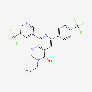 CCn1cnc2c(-c3cncc(C(F)(F)F)c3)nc(-c3ccc(C(F)(F)F)cc3)cc2c1=O